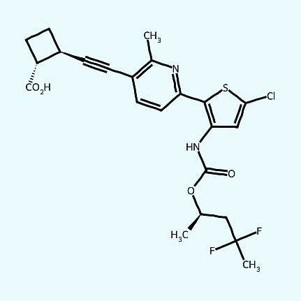 Cc1nc(-c2sc(Cl)cc2NC(=O)O[C@H](C)CC(C)(F)F)ccc1C#C[C@@H]1CC[C@H]1C(=O)O